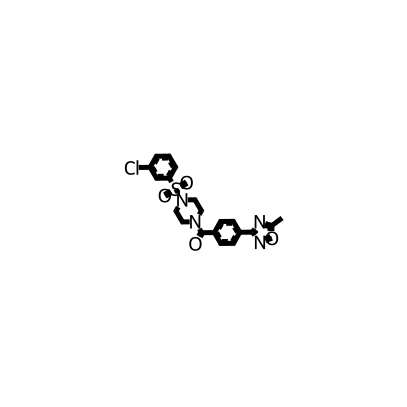 Cc1nc(-c2ccc(C(=O)N3CCN(S(=O)(=O)c4cccc(Cl)c4)CC3)cc2)no1